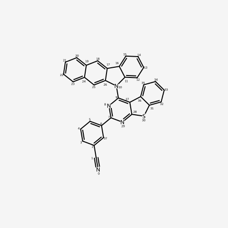 N#Cc1cccc(-c2nc(-n3c4ccccc4c4cc5ccccc5cc43)c3c(n2)sc2ccccc23)c1